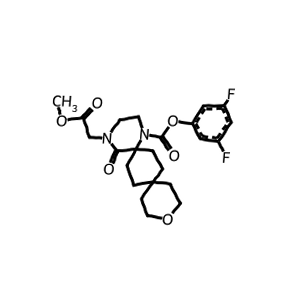 COC(=O)CN1CCN(C(=O)Oc2cc(F)cc(F)c2)C2(CCC3(CCOCC3)CC2)C1=O